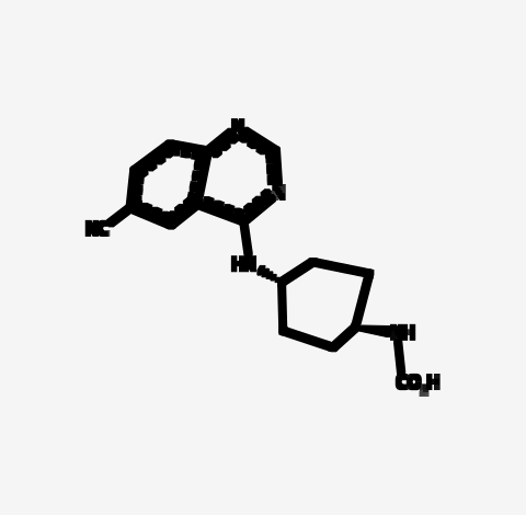 N#Cc1ccc2ncnc(N[C@H]3CC[C@H](NC(=O)O)CC3)c2c1